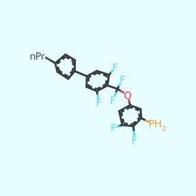 CCCc1ccc(-c2cc(F)c(C(F)(F)Oc3cc(F)c(F)c(P)c3)c(F)c2)cc1